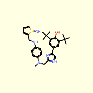 CN(Cc1nc(-c2cc(C(C)(C)C)c(O)c(C(C)(C)C)c2)c[nH]1)c1ccc(NCC2=CC=CS2=N)cc1